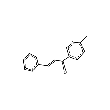 Cc1ccc(C(=O)C=Cc2ccccc2)cn1